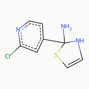 NC1(c2ccnc(Cl)c2)NC=CS1